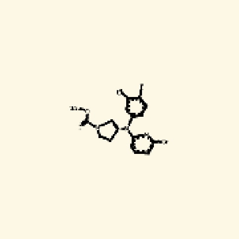 CC(C)(C)OC(=O)N1CC[C@H](N(c2ccc(F)c(Cl)c2)c2cccc(Br)n2)C1